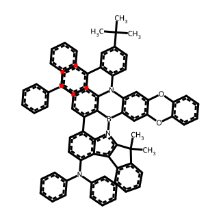 CC(C)(C)c1ccc(N2c3cc4c(cc3B3c5c(cc(N(c6ccccc6)c6ccccc6)cc52)-c2ccc(N(c5ccccc5)c5ccccc5)c5c6c(n3c25)C(C)(C)c2ccccc2-6)Oc2ccccc2O4)c(-c2ccccc2)c1